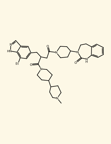 CCc1cc(CC(CC(=O)N2CCC(N3CCc4ccccc4NC3=O)CC2)C(=O)N2CCC(C3CCN(C)CC3)CC2)cc2cn[nH]c12